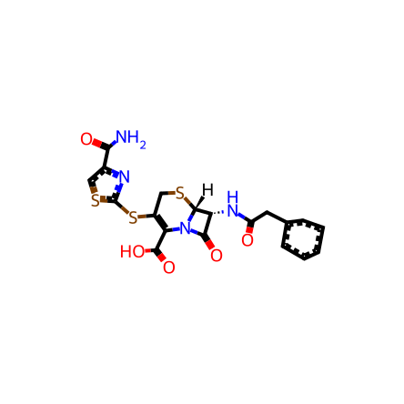 NC(=O)c1csc(SC2=C(C(=O)O)N3C(=O)[C@@H](NC(=O)Cc4ccccc4)[C@H]3SC2)n1